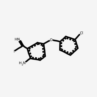 N=C(I)c1cc(Oc2cccc(Cl)c2)ccc1N